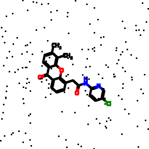 Cc1ccc2c(=O)c3cccc(CC(=O)Nc4ccc(Cl)cn4)c3oc2c1C